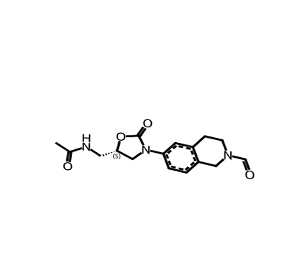 CC(=O)NC[C@H]1CN(c2ccc3c(c2)CCN(C=O)C3)C(=O)O1